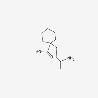 CC(N)CCC1(C(=O)O)CCCCC1